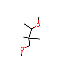 COCC(C)(C)C(C)OC